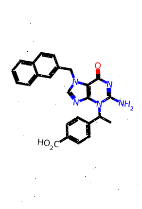 CC(c1ccc(C(=O)O)cc1)n1c(N)nc(=O)c2c1ncn2Cc1ccc2ccccc2c1